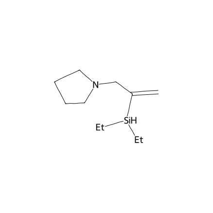 C=C(CN1CCCC1)[SiH](CC)CC